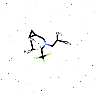 CC(C)CN(CC1CC1)[C@@H](C(C)C)C(F)(F)F